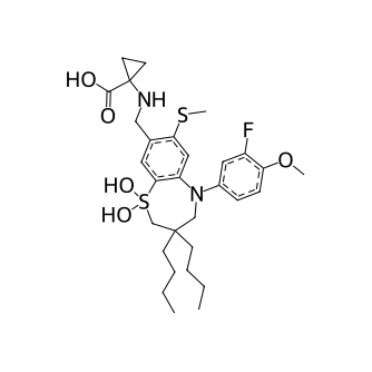 CCCCC1(CCCC)CN(c2ccc(OC)c(F)c2)c2cc(SC)c(CNC3(C(=O)O)CC3)cc2S(O)(O)C1